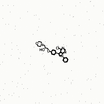 OC(COc1ccc(-c2cn(-c3ccccc3)c3ncnc(Cl)c23)cc1)CN1CCOCC1